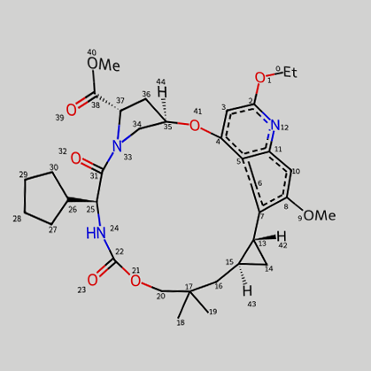 CCOc1cc2c3cc(c(OC)cc3n1)[C@@H]1C[C@H]1CC(C)(C)COC(=O)N[C@@H](C1CCCC1)C(=O)N1C[C@@H](C[C@H]1C(=O)OC)O2